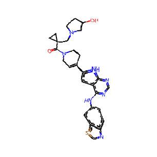 O=C(N1CC=C(c2cc3c(Nc4ccc5ncsc5c4)ncnc3[nH]2)CC1)C1(CN2CCC(O)C2)CC1